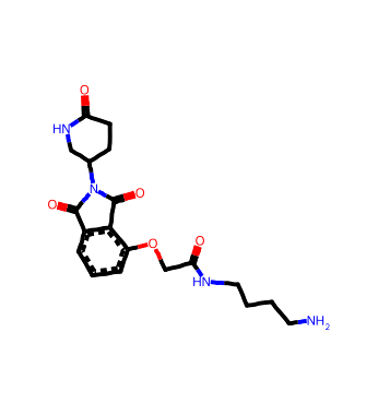 NCCCCNC(=O)COc1cccc2c1C(=O)N(C1CCC(=O)NC1)C2=O